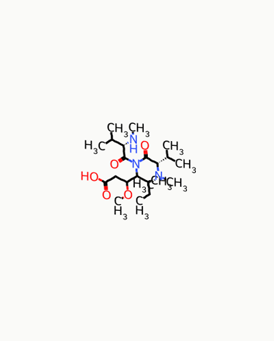 CCC(C)C(C(CC(=O)O)OC)N(C(=O)[C@@H](NC)C(C)C)C(=O)[C@H](C(C)C)N(C)C